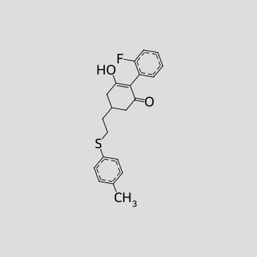 Cc1ccc(SCCC2CC(=O)C(c3ccccc3F)=C(O)C2)cc1